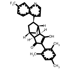 Cc1cc(C)c(C2=C(O)[C@@H]3[C@@H]4O[C@@H](C[C@H]4c4ccnc5cc(C(F)(F)F)ccc45)[C@@H]3C2=O)c(C)c1